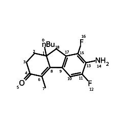 CCCCC12CCC(=O)C(C)=C1c1cc(F)c(N)c(F)c1C2